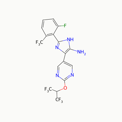 Nc1[nH]c(-c2c(F)cccc2C(F)(F)F)nc1-c1cnc(OC(C(F)(F)F)C(F)(F)F)nc1